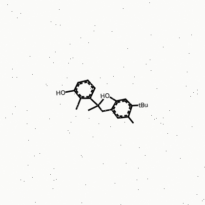 Cc1cc(CC(C)(C)c2cccc(O)c2C)c(O)cc1C(C)(C)C